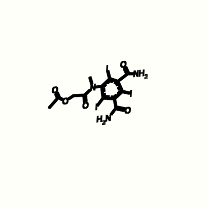 CC(=O)OCC(=O)N(C)c1c(I)c(C(N)=O)c(I)c(C(N)=O)c1I